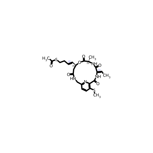 C/C=C1\NC(=O)c2nc(ccc2SC)CNC(=O)C[C@@H](/C=C/CCSC(C)=O)OC(=O)[C@H](C)NC1=O